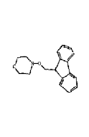 c1ccc2c(c1)-c1ccccc1C2CON1CCOCC1